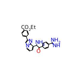 CCOC(=O)c1ccc(-c2cn3cccc(C(N)C(=O)c4ccc(C(=N)N)cc4)c3n2)cc1